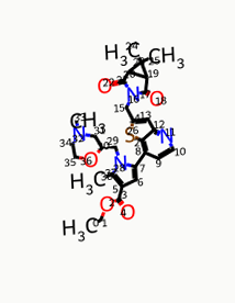 CCOC(=O)c1cc(-c2ccnc3cc(CN4C(=O)C5C(C4=O)C5(C)C)sc23)n(C[C@@H]2CN(C)CCO2)c1C